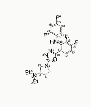 CCN(CC)C1CCN(c2nnc(-c3ccc(F)c(F)c3Nc3ccc(I)cc3F)o2)C1